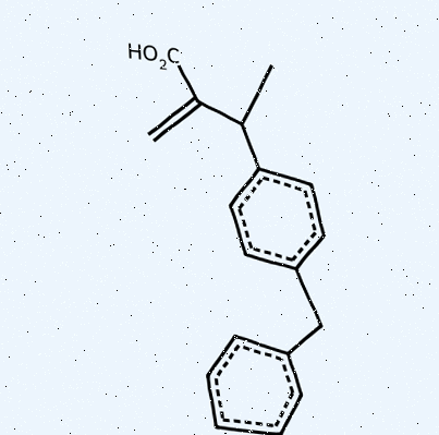 C=C(C(=O)O)C(C)c1ccc(Cc2ccccc2)cc1